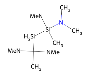 CNC(C)(NC)[SiH2][Si](C)(NC)N(C)C